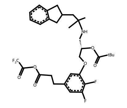 CC(C)(CC1Cc2ccccc2C1)NC[C@@H](COc1cc(CCC(=O)OC(=O)C(F)(F)F)cc(F)c1F)OC(=O)C(C)(C)C